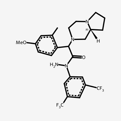 COc1ccc(C(C(=O)N(N)c2cc(C(F)(F)F)cc(C(F)(F)F)c2)N2CCN3CCC[C@@H]3C2)c(C)c1